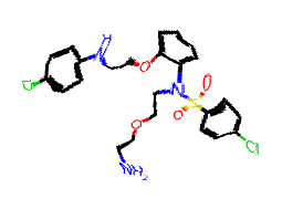 NCCOCCN(c1ccccc1OCCNc1ccc(Cl)cc1)S(=O)(=O)c1ccc(Cl)cc1